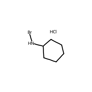 BrNC1CCCCC1.Cl